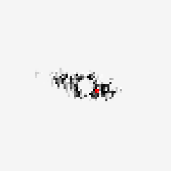 Nc1ncnc2c1ncn2[C@@H]1O[C@@H]2COP(=O)(O)O[C@@H]3[C@H](O)[C@@H](COP(=O)(S)O[C@H]2[C@H]1F)O[C@H]3n1cc(F)c2c1N=CCC2=O